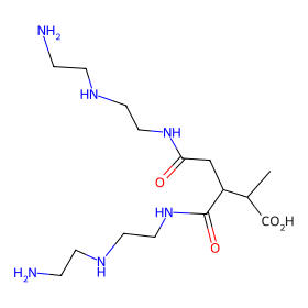 CC(C(=O)O)C(CC(=O)NCCNCCN)C(=O)NCCNCCN